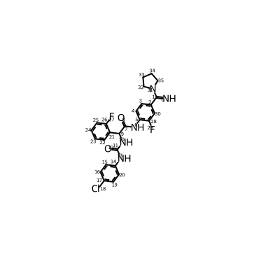 N=C(c1ccc(NC(=O)C(NC(=O)Nc2ccc(Cl)cc2)c2ccccc2F)c(F)c1)N1CCCC1